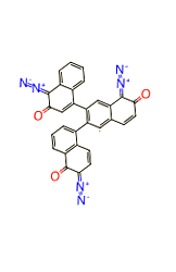 [N-]=[N+]=C1C=Cc2c(cccc2-c2[c]c3c(cc2C2=CC(=O)C(=[N+]=[N-])c4ccccc42)C(=[N+]=[N-])C(=O)C=C3)C1=O